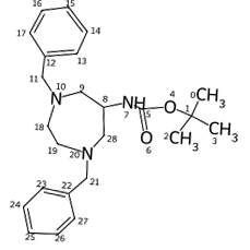 CC(C)(C)OC(=O)NC1CN(Cc2ccccc2)CCN(Cc2ccccc2)C1